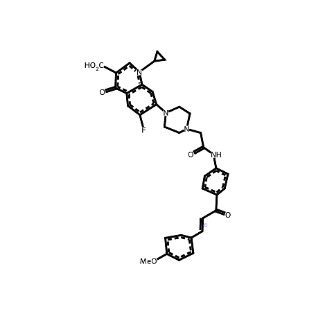 COc1ccc(/C=C/C(=O)c2ccc(NC(=O)CN3CCN(c4cc5c(cc4F)c(=O)c(C(=O)O)cn5C4CC4)CC3)cc2)cc1